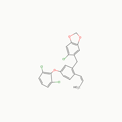 O=C(O)/C=C\c1ccc(Oc2c(Cl)cccc2Cl)cc1Cc1cc2c(cc1Cl)OCO2